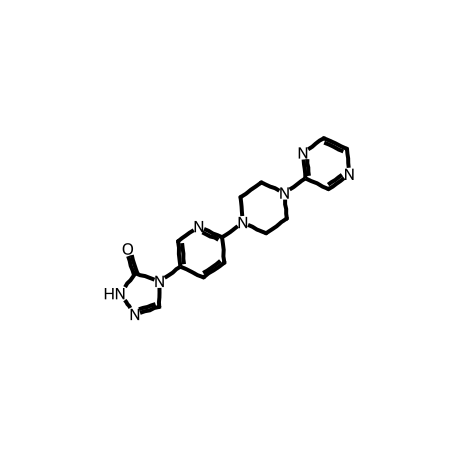 O=c1[nH]ncn1-c1ccc(N2CCN(c3cnccn3)CC2)nc1